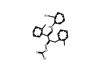 CCC(=O)O/N=C(Cc1ccccc1C)/C(=C/Nc1ccccc1C(C)=O)c1ccccc1C